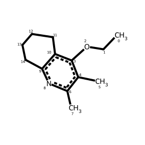 CCOc1c(C)c(C)nc2c1CCCC2